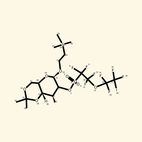 C[C@@H]1C(OS(=O)(=O)C(F)(F)C(F)(F)OC(F)(F)C(F)(F)I)[C@H](OCC[Si](C)(C)C)OC2COC(C)(C)O[C@H]21